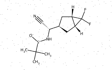 CC(C)(C)[S+]([O-])N[C@H](C#N)[C@@H]1C[C@@H]2[C@H](C1)C2(F)F